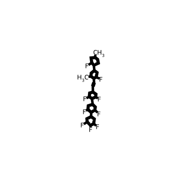 Cc1ccc(-c2cc(C)c(C#Cc3cc(F)c(-c4cc(F)c(-c5cc(F)c(F)c(F)c5)c(F)c4)c(F)c3)c(F)c2)c(F)c1